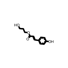 O=C(C=Cc1ccc(O)cc1)OCCCO